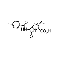 CC(=O)N1CC2C(NC(=O)c3ccc(C)cc3)C(=O)N2C1C(=O)O